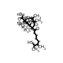 C=C(CCCCC(=O)C(C)(CC(C)(C)C(C)CCCC)C(C)(C)C(C)(C)C(C)(C(=O)CCCC)C(C)(C)C)C(C)S